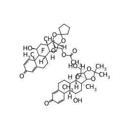 CC(=O)OCC(=O)[C@@]12OC3(CCCC3)O[C@@H]1C[C@H]1[C@@H]3CCC4=CC(=O)C=C[C@]4(C)[C@@]3(F)[C@@H](O)C[C@@]12C.CC1(C)O[C@@H]2C[C@H]3[C@@H]4CCC5=CC(=O)C=C[C@]5(C)[C@H]4[C@@H](O)C[C@]3(C)[C@]2(C(=O)CO)O1